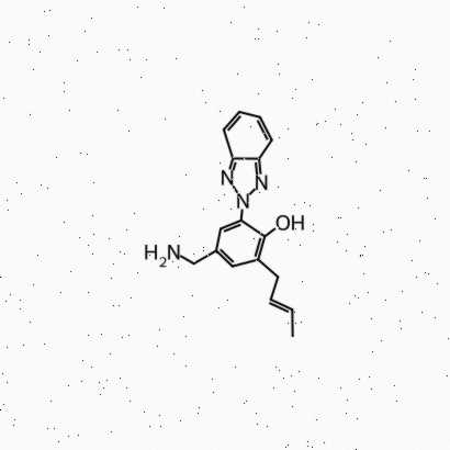 CC=CCc1cc(CN)cc(-n2nc3ccccc3n2)c1O